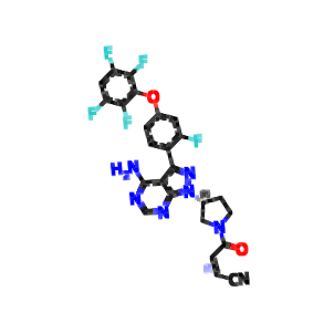 N#C/C=C\C(=O)N1CC[C@@H](n2nc(-c3ccc(Oc4c(F)c(F)cc(F)c4F)cc3F)c3c(N)ncnc32)C1